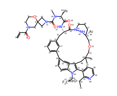 C=CC(=O)N1CCOC2(C1)CN(C(=O)N(C)[C@H](C(=O)N[C@H]1Cc3cccc(c3)-c3ccc4c(c3)c(c(-c3cccnc3[C@H](C)OC)n4CC(F)(F)F)CC(C)(C)COC[C@]3(C(C)=O)CCCN(N3)C1=O)C(C)C)C2